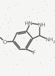 COc1cc(F)c2c(c1)NNC2N